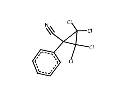 N#CC1(c2ccccc2)C(Cl)(Cl)C1(Cl)Cl